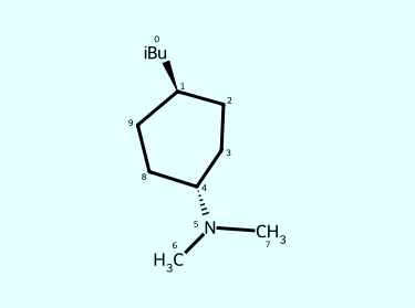 CCC(C)[C@H]1CC[C@H](N(C)C)CC1